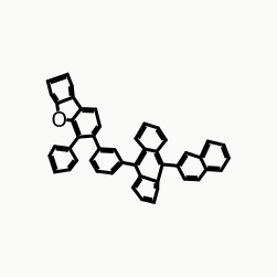 c1ccc(-c2c(-c3cccc(-c4c5ccccc5c(-c5ccc6ccccc6c5)c5ccccc45)c3)ccc3c2oc2ccccc23)cc1